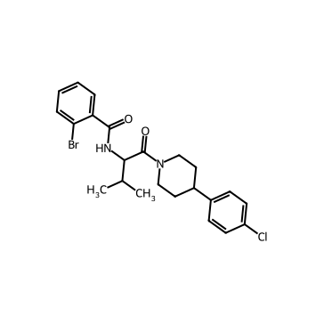 CC(C)C(NC(=O)c1ccccc1Br)C(=O)N1CCC(c2ccc(Cl)cc2)CC1